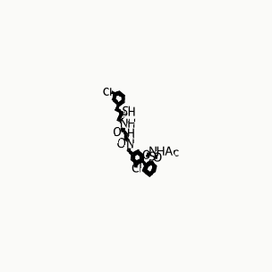 CC(=O)NS(=O)(=O)c1ccccc1-c1ccc(CNC(=O)CC(=O)NC[C@H](S)Cc2cccc(Cl)c2)cc1Cl